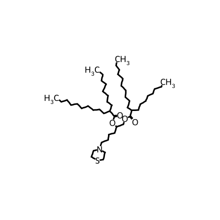 CCCCCCCCCCC(CCCCCCCC)C(=O)OCC(CCCCN1CCSCC1)OC(=O)C(CCCCCCCC)CCCCCCCCCC